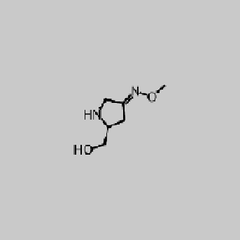 CON=C1CN[C@H](CO)C1